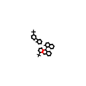 CC(C)(C)c1ccc(N(c2ccc3c(c2)oc2ccc(C(C)(C)C)cc23)c2ccc3ccccc3c2-c2cccc3ccccc23)cc1